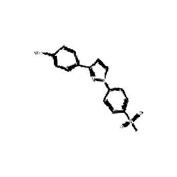 CSc1ccc(-c2ccn(-c3ccc(S(C)(=O)=O)cc3)n2)cc1